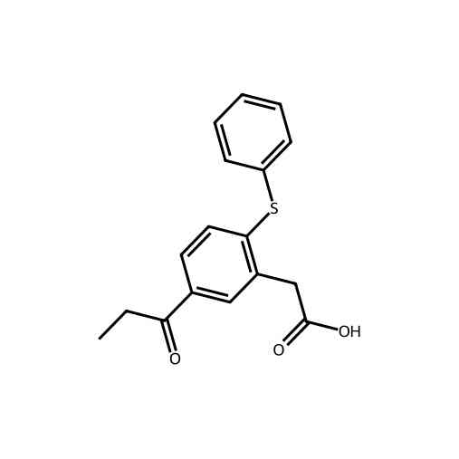 CCC(=O)c1ccc(Sc2ccccc2)c(CC(=O)O)c1